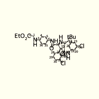 CCOC(=O)CNc1ccc(NC(=O)[C@H]2N[C@@H](CC(C)(C)C)[C@@]3(C(=O)Nc4cc(Cl)ccc43)[C@H]2c2cccc(Cl)c2F)cc1